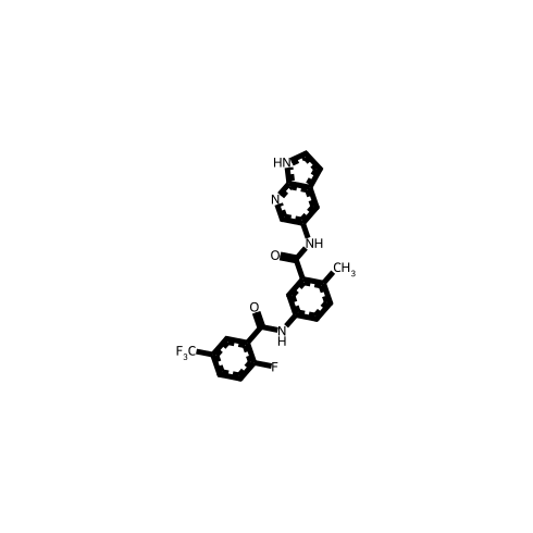 Cc1ccc(NC(=O)c2cc(C(F)(F)F)ccc2F)cc1C(=O)Nc1cnc2[nH]ccc2c1